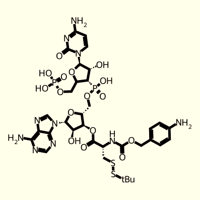 CC(C)(C)SSC[C@@H](NC(=O)OCc1ccc(N)cc1)C(=O)O[C@H]1[C@@H](O)[C@H](n2cnc3c(N)ncnc32)O[C@@H]1COP(=O)(O)[C@@H]1C(COP(=O)(O)O)O[C@@H](n2ccc(N)nc2=O)[C@@H]1O